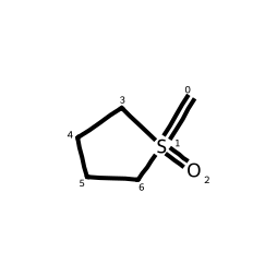 C=S1(=O)CCCC1